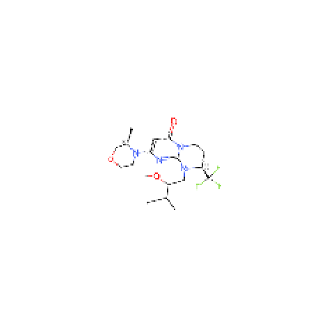 COC(CN1c2nc(N3CCOC[C@H]3C)cc(=O)n2CC[C@H]1C(F)(F)F)C(C)C